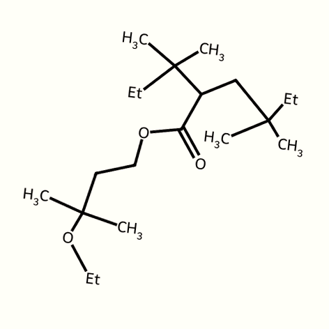 CCOC(C)(C)CCOC(=O)C(CC(C)(C)CC)C(C)(C)CC